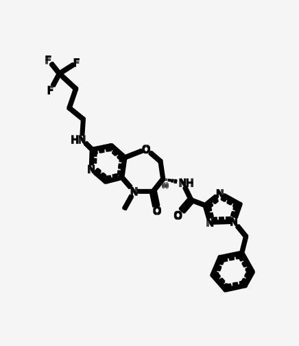 CN1C(=O)[C@@H](NC(=O)c2ncn(Cc3ccccc3)n2)COc2cc(NCCCC(F)(F)F)ncc21